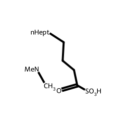 CCCCCCCCCCC(=O)S(=O)(=O)O.CNC